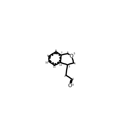 O=CCC1COCc2ccccc21